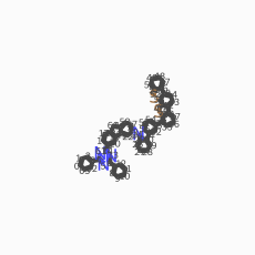 c1ccc(-c2nc(-c3ccccc3)nc(-c3ccc4c(c3)-c3cc(-n5c6ccccc6c6cc(-c7cccc8c7sc7c8ccc8c9ccccc9sc87)ccc65)ccc3C4)n2)cc1